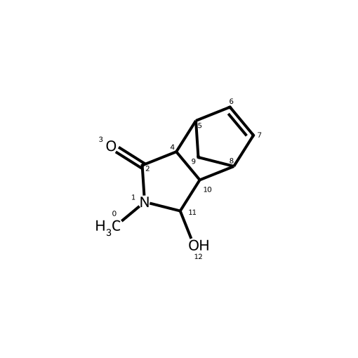 CN1C(=O)C2C3C=CC(C3)C2C1O